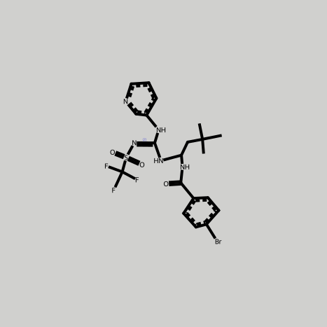 CC(C)(C)CC(NC(=O)c1ccc(Br)cc1)N/C(=N\S(=O)(=O)C(F)(F)F)Nc1cccnc1